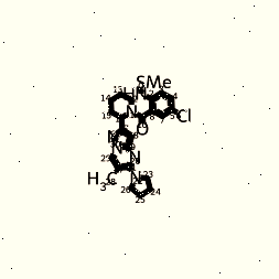 CSNc1ccc(Cl)cc1C(=O)N1CCCCC1c1cc2nc(N3CCCC3)c(C)cn2n1